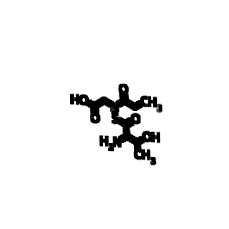 CCC(=O)N(CC(=O)O)SC(=O)C(N)C(C)O